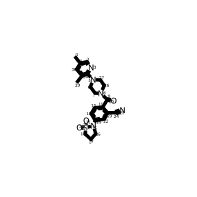 Cc1cnc(N2CCN(C(=O)c3ccc(N4CCCS4(=O)=O)cc3C#N)CC2)c(C)c1